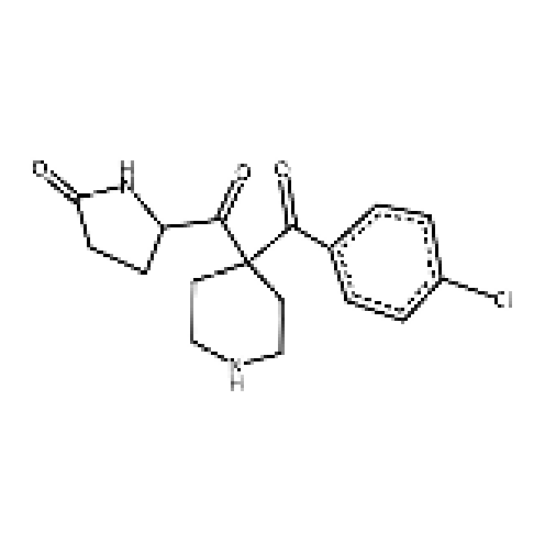 O=C1CCC(C(=O)C2(C(=O)c3ccc(Cl)cc3)CCNCC2)N1